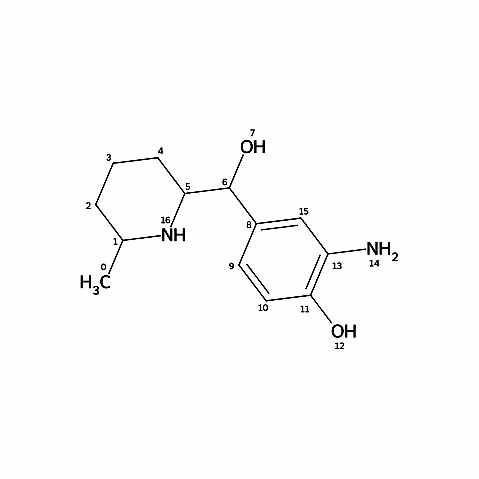 CC1CCCC(C(O)c2ccc(O)c(N)c2)N1